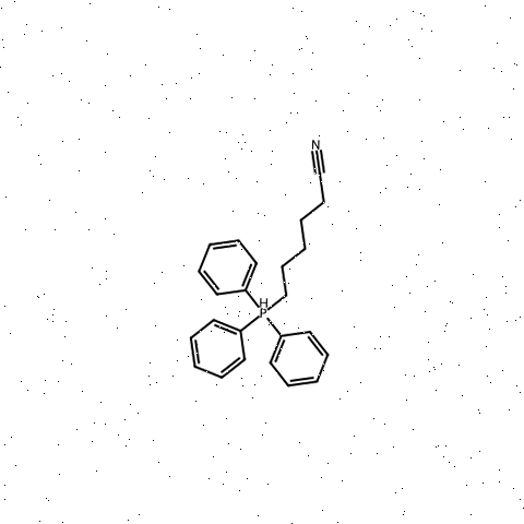 N#CCCCCC[PH](c1ccccc1)(c1ccccc1)c1ccccc1